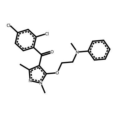 Cc1nn(C)c(OCCN(C)c2ccccc2)c1C(=O)c1ccc(Cl)cc1Cl